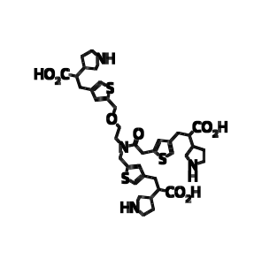 O=C(O)C(Cc1csc(COCCN(Cc2cc(CC(C(=O)O)C3CCNC3)cs2)C(=O)Cc2cc(CC(C(=O)O)C3CCNC3)cs2)c1)C1CCNC1